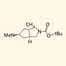 CN[C@@H]1C[C@@H]2CN(C(=O)OC(C)(C)C)C[C@]2(C)C1